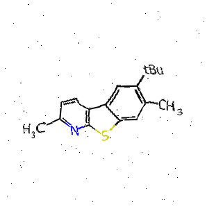 Cc1ccc2c(n1)sc1cc(C)c(C(C)(C)C)cc12